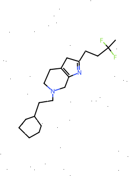 CC(F)(F)CCC1=NC2=C(CCN(CCC3CCCCC3)C2)C1